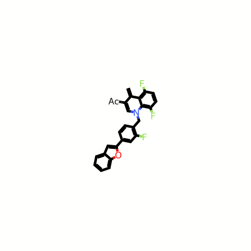 C=C1C(C(C)=O)=CN(Cc2ccc(-c3cc4ccccc4o3)cc2F)c2c(F)ccc(F)c21